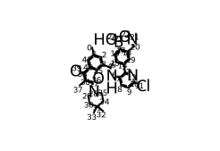 Cc1cc([C@@H](C)Nc2ccc(Cl)nc2-c2ccc3c(c2)C=NOB3O)c2oc(N3CCC(C)(C)CC3)c(C)c(=O)c2c1